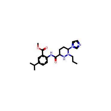 CCCN1NC(C(=O)Nc2ccc(C(C)C)cc2C(=O)OC)CCC1n1ccnc1